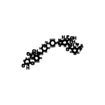 Cn1c(=O)n(C2CCC(=O)NC2=O)c2cccc(NCC3CCN(C[C@H]4CC[C@H](c5nc6cc(C(C)(C)O)c(NC(=O)c7cccc(C(F)(F)F)n7)cc6s5)CC4)CC3)c21